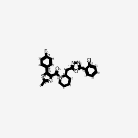 Cc1nc(C(=O)N2CCCCC2Cc2nnc(-c3ccccc3Cl)o2)c(-c2ccc(F)cc2)s1